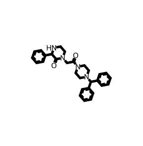 O=C(CN1CCNC(c2ccccc2)C1=O)N1CCN(C(c2ccccc2)c2ccccc2)CC1